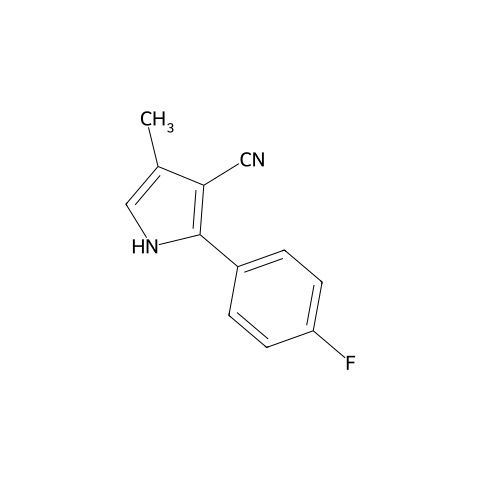 Cc1c[nH]c(-c2ccc(F)cc2)c1C#N